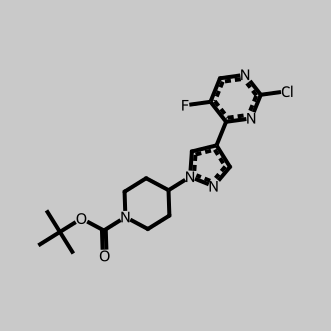 CC(C)(C)OC(=O)N1CCC(n2cc(-c3nc(Cl)ncc3F)cn2)CC1